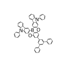 c1ccc(-c2cc(-c3ccccc3)cc(-c3cc4c5c(c3)Oc3cc6c(cc3B5c3cc5c7ccccc7n(-c7ccccc7)c5cc3O4)c3ccccc3n6-c3ccccc3)c2)cc1